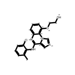 Cc1cccc(Cl)c1Nc1nc2cccc(OCCO)c2n2cncc12